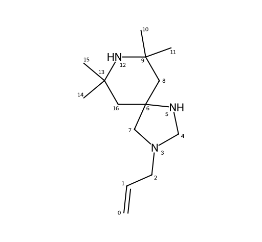 C=CCN1CNC2(C1)CC(C)(C)NC(C)(C)C2